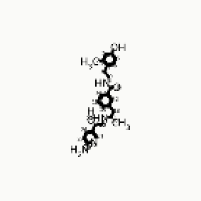 Cc1cc(O)ccc1CCNC(=O)c1cccc(C[C@@H](C)NC[C@@H](O)c2ccc(N)nc2)c1